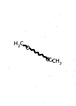 C=CCOCCCCCCCCCOCC=C